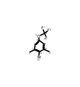 Cc1cc(OC(F)(F)F)cc(C)c1Br